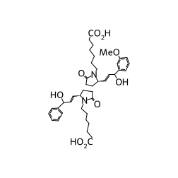 COc1cccc(C(O)/C=C/[C@H]2CCC(=O)N2CCCCCCC(=O)O)c1.O=C(O)CCCCCCN1C(=O)CC[C@@H]1/C=C/C(O)c1ccccc1